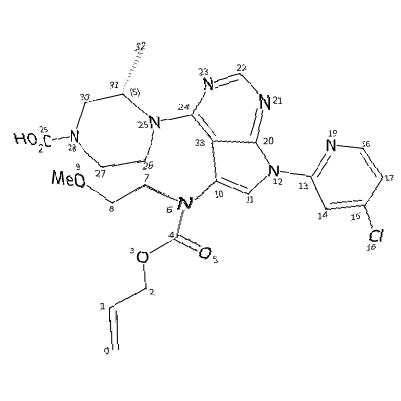 C=CCOC(=O)N(CCOC)c1cn(-c2cc(Cl)ccn2)c2ncnc(N3CCN(C(=O)O)C[C@@H]3C)c12